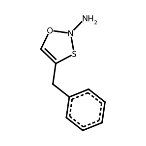 NN1OC=C(Cc2ccccc2)S1